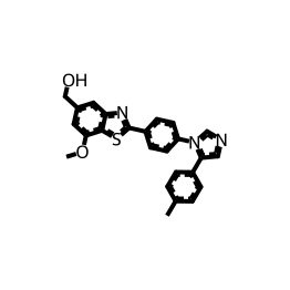 COc1cc(CO)cc2nc(-c3ccc(-n4cncc4-c4ccc(C)cc4)cc3)sc12